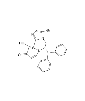 O=c1ccn2c(c1O)-c1ncc(Br)n1C[C@@H]2C(c1ccccc1)c1ccccc1